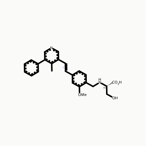 COc1cc(/C=C/c2cncc(-c3ccccc3)c2C)ccc1CN[C@@H](CO)C(=O)O